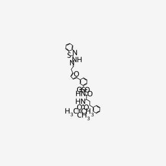 CC(C)(C)OC(=O)NC(CCc1ccccc1)C(=O)NS(=O)(=O)c1cccc(-c2ccc(CC=NNc3nc4ccccc4s3)o2)c1